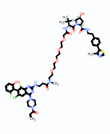 C=CC(=O)N1CCN(c2nc(NCCC(=O)N(C)CCOCCOCCOCCOCC(=O)N[C@H](C(=O)N3C[C@@H](O)C[C@H]3C(=O)NCCc3ccc(-c4scnc4C)cc3)C(C)(C)C)nc3c(F)c(-c4c(O)cccc4F)c(Cl)cc23)CC1